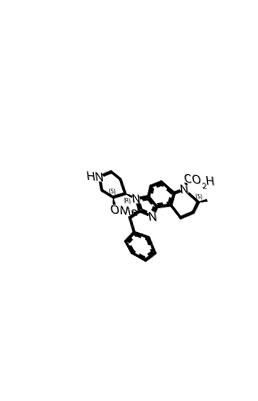 CO[C@H]1CNCC[C@H]1n1c(Cc2ccccc2)nc2c3c(ccc21)N(C(=O)O)[C@@H](C)CC3